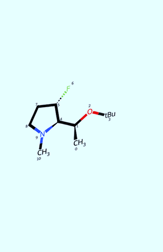 C[C@H](OC(C)(C)C)[C@@H]1[C@@H](F)CCN1C